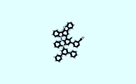 Cc1c(-c2cccc(C#N)c2)cc2c3c1-c1cc4c5ccccc5oc4c4c5ccccc5n(c14)B3c1ccccc1N2c1cc(-c2ccccc2)cc(-c2ccccc2)c1